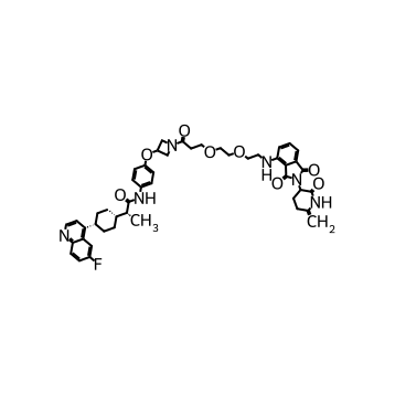 C=C1CCC(N2C(=O)c3cccc(NCCOCCOCCC(=O)N4CC(Oc5ccc(NC(=O)[C@H](C)[C@H]6CC[C@@H](c7ccnc8ccc(F)cc87)CC6)cc5)C4)c3C2=O)C(=O)N1